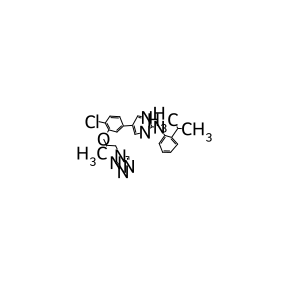 CC(C)c1ccccc1Nc1ncc(-c2ccc(Cl)c(O[C@@H](C)Cn3cnnn3)c2)cn1